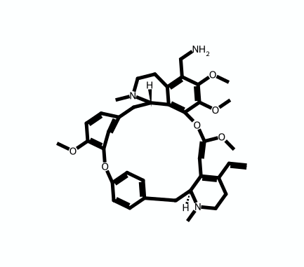 C=CC1=C2/C=C(\OC)Oc3c(OC)c(OC)c(CN)c4c3[C@H](Cc3ccc(OC)c(c3)Oc3ccc(cc3)C[C@@H]2N(C)CC1)N(C)CC4